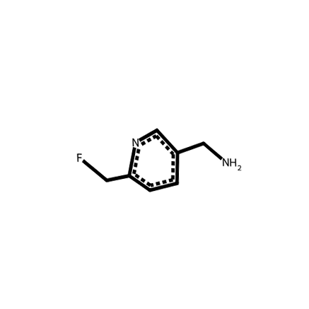 NCc1ccc(CF)nc1